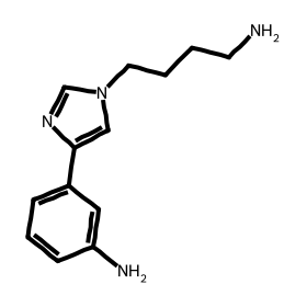 NCCCCn1cnc(-c2cccc(N)c2)c1